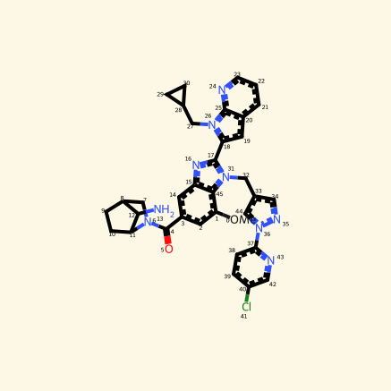 COc1cc(C(=O)N2CC3CCC2C3N)cc2nc(-c3cc4cccnc4n3CC3CC3)n(Cc3cnn(-c4ccc(Cl)cn4)c3)c12